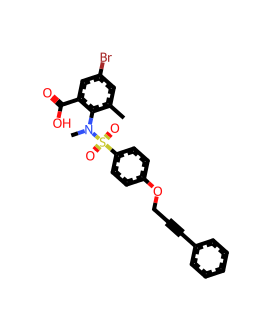 Cc1cc(Br)cc(C(=O)O)c1N(C)S(=O)(=O)c1ccc(OCC#Cc2ccccc2)cc1